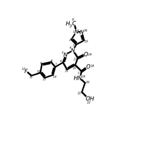 Cn1cc(-n2nc(-c3ccc(CF)cc3)cc(C(=O)NCCO)c2=O)cn1